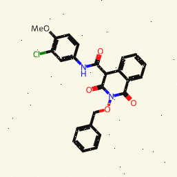 COc1ccc(NC(=O)C2C(=O)N(OCc3ccccc3)C(=O)c3ccccc32)cc1Cl